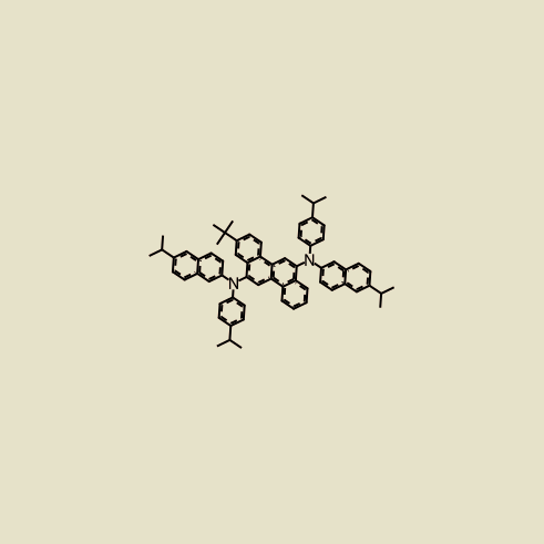 CC(C)c1ccc(N(c2ccc3cc(C(C)C)ccc3c2)c2cc3c4ccc(C(C)(C)C)cc4c(N(c4ccc(C(C)C)cc4)c4ccc5cc(C(C)C)ccc5c4)cc3c3ccccc23)cc1